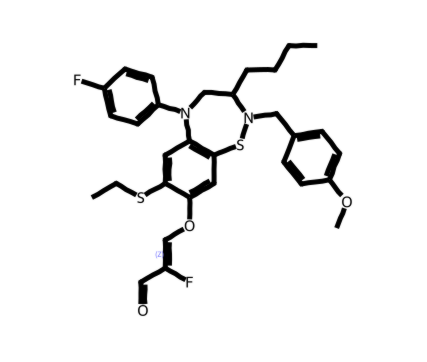 CCCCC1CN(c2ccc(F)cc2)c2cc(SCC)c(O/C=C(\F)C=O)cc2SN1Cc1ccc(OC)cc1